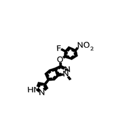 Cn1nc(Oc2ccc([N+](=O)[O-])cc2F)c2ccc(-c3cn[nH]c3)cc21